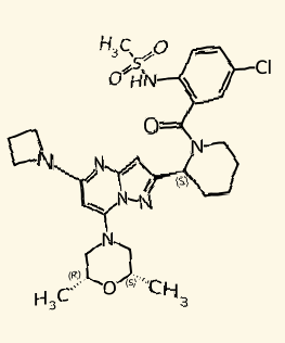 C[C@@H]1CN(c2cc(N3CCC3)nc3cc([C@@H]4CCCCN4C(=O)c4cc(Cl)ccc4NS(C)(=O)=O)nn23)C[C@H](C)O1